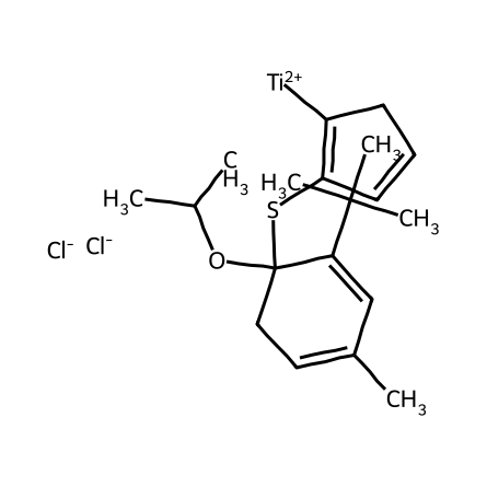 CC1=CCC(OC(C)C)(SC2=[C]([Ti+2])CC=C2)C(C(C)(C)C)=C1.[Cl-].[Cl-]